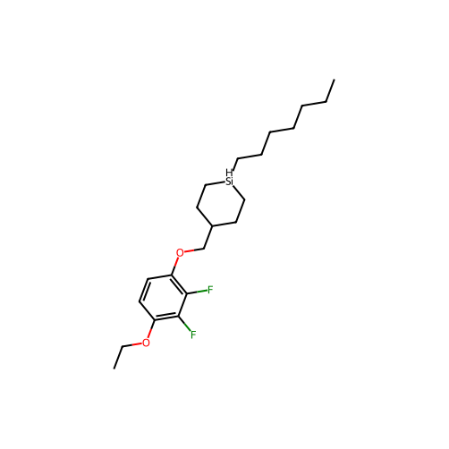 CCCCCCC[SiH]1CCC(COc2ccc(OCC)c(F)c2F)CC1